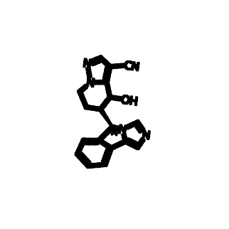 N#Cc1cnn2c1C(O)C([C@@H]1c3ccccc3-c3cncn31)CC2